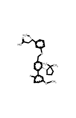 CC[C@@H](CC(=O)O)c1cccc(OCc2ccc(-c3cc(OC)ccc3F)c([C@H]3CCCC3(C)C)c2)c1